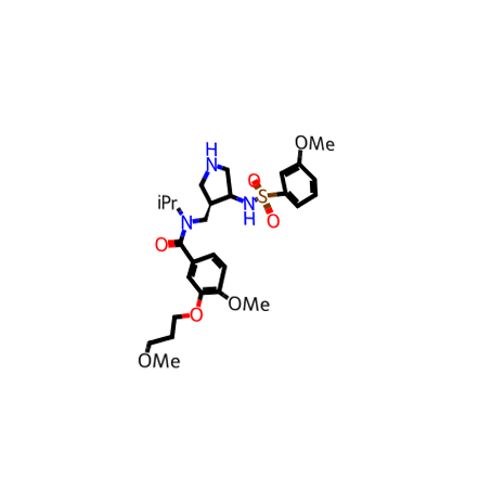 COCCCOc1cc(C(=O)N(C[C@H]2CNCC2NS(=O)(=O)c2cccc(OC)c2)C(C)C)ccc1OC